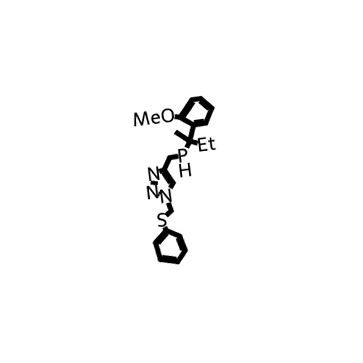 CCC(C)(PCc1cn(CSc2ccccc2)nn1)c1ccccc1OC